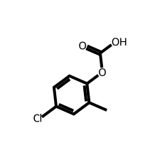 Cc1cc(Cl)ccc1OC(=O)O